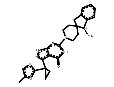 Cc1cnc(C2(c3n[nH]c4nc(N5CCC6(CC5)Cc5ccccc5[C@H]6N)[nH]c(=O)c34)CC2)o1